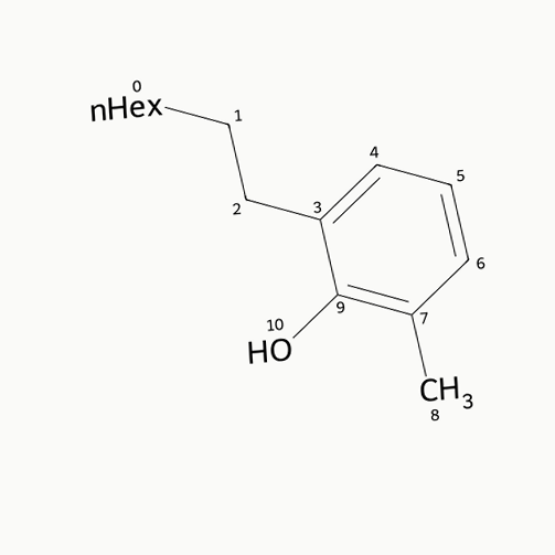 CCCCCCCCc1cccc(C)c1O